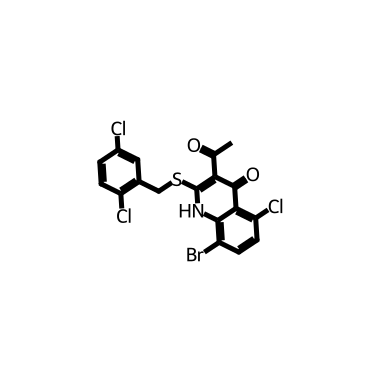 CC(=O)c1c(SCc2cc(Cl)ccc2Cl)[nH]c2c(Br)ccc(Cl)c2c1=O